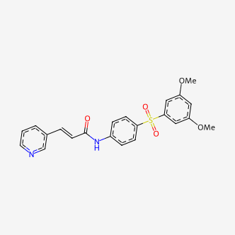 COc1cc(OC)cc(S(=O)(=O)c2ccc(NC(=O)/C=C/c3cccnc3)cc2)c1